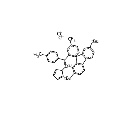 Cc1ccc([C](c2cccc(C(F)(F)F)c2)=[Zr+2]([c]2c(C(C)(C)C)ccc3c2Cc2cc(C(C)(C)C)ccc2-3)[CH]2C=CC=C2)cc1.[Cl-].[Cl-]